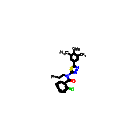 COc1c(C)cc(-c2nnc(N(CCC(C)C)C(=O)c3ccccc3Cl)s2)cc1C